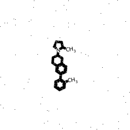 Cc1ccccc1-c1ccc2c(c1)CCC(N1CCCC1C)C2